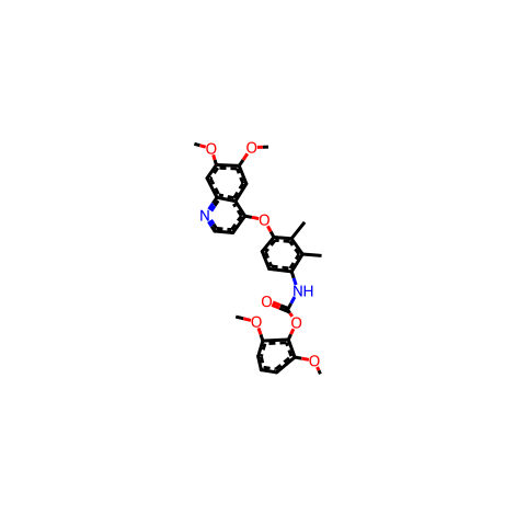 COc1cc2nccc(Oc3ccc(NC(=O)Oc4c(OC)cccc4OC)c(C)c3C)c2cc1OC